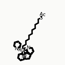 CC(=O)SCCCCCCCCCC[CH2][Ru]([CH3])([c]1ccccn1)([c]1ccccn1)([c]1ccccn1)[c]1ccccn1